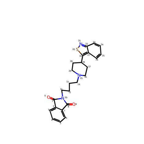 O=C1c2ccccc2C(=O)N1CCCCN1CCC(c2snc3ccccc23)CC1